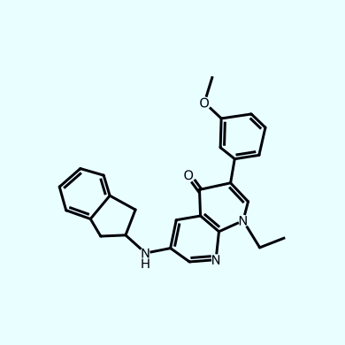 CCn1cc(-c2cccc(OC)c2)c(=O)c2cc(NC3Cc4ccccc4C3)cnc21